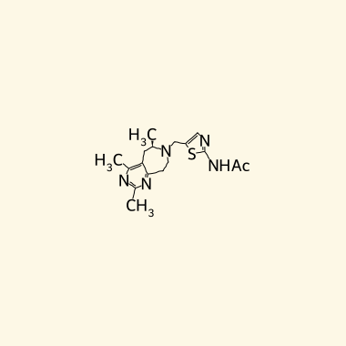 CC(=O)Nc1ncc(CN2CCc3nc(C)nc(C)c3C[C@H]2C)s1